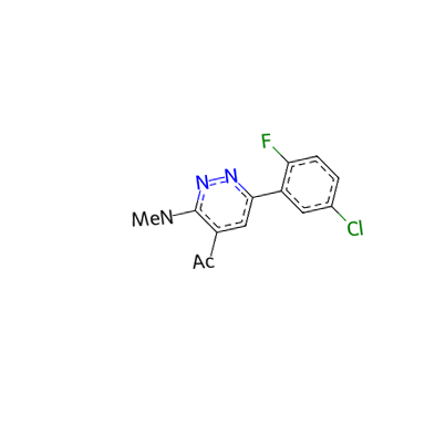 CNc1nnc(-c2cc(Cl)ccc2F)cc1C(C)=O